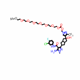 COCCOCCOCCOCCOCCOCCOCCOC(=O)OCn1cc(C2(O)CC3CC(c4nn(C)c(N)c4C(=O)Nc4ccc(F)c(Cl)c4)CC3C2)c(C(F)(F)F)n1